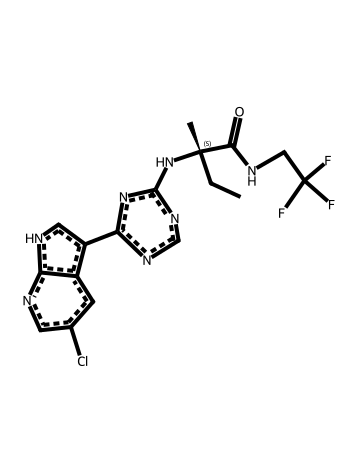 CC[C@](C)(Nc1ncnc(-c2c[nH]c3ncc(Cl)cc23)n1)C(=O)NCC(F)(F)F